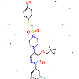 CC1(COc2c(N3CCN(S(=O)(=O)CSc4ccc(O)cc4)CC3)cnn(-c3cc(F)cc(F)c3)c2=O)CC1